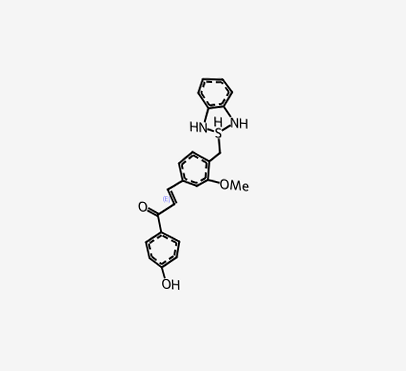 COc1cc(/C=C/C(=O)c2ccc(O)cc2)ccc1C[SH]1Nc2ccccc2N1